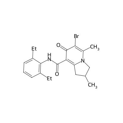 CCc1cccc(CC)c1NC(=O)c1c2n(c(C)c(Br)c1=O)CC(C)C2